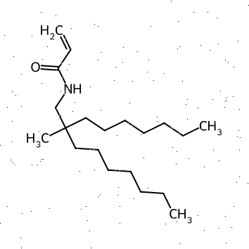 C=CC(=O)NCC(C)(CCCCCCC)CCCCCCC